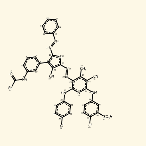 CCC(=O)Nc1cccc(-c2c(N=Nc3ccccc3)sc(N=Nc3c(Nc4ccc(Cl)cc4)nc(Nc4ccc(Cl)c(S(=O)(=O)O)c4)c(C#N)c3C)c2C#N)c1